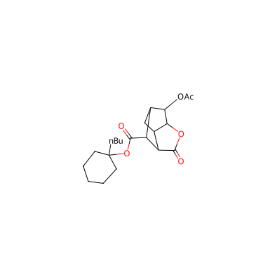 [CH2]C(=O)OC1C2CC3C1OC(=O)C3C2C(=O)OC1(CCCC)CCCCC1